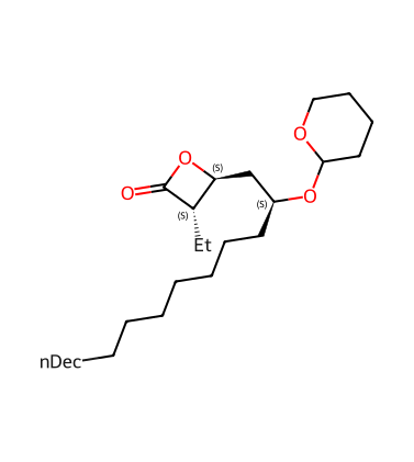 CCCCCCCCCCCCCCCCC[C@@H](C[C@@H]1OC(=O)[C@H]1CC)OC1CCCCO1